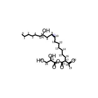 CCCCCC[C@@H](O)C/C=C\CCCCCCC(C(C)=O)C(=O)OC(=O)C(O)CO